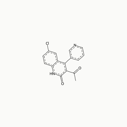 CC(=O)c1c(-c2cccnc2)c2cc(Cl)ccc2[nH]c1=O